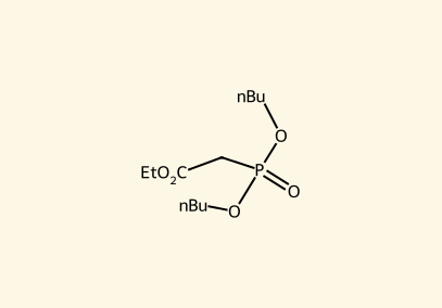 CCCCOP(=O)(CC(=O)OCC)OCCCC